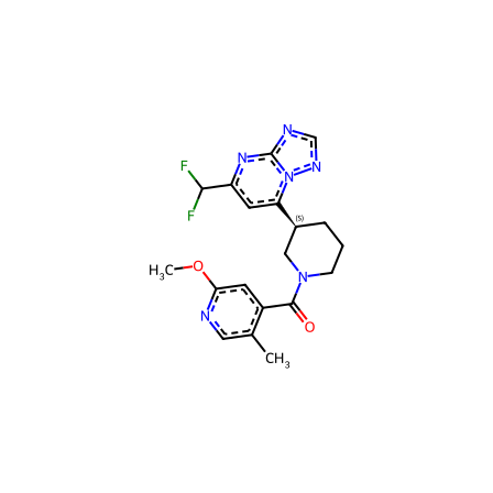 COc1cc(C(=O)N2CCC[C@H](c3cc(C(F)F)nc4ncnn34)C2)c(C)cn1